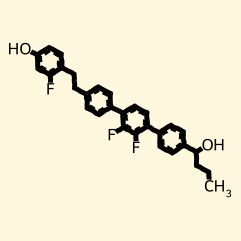 CCCC(O)c1ccc(-c2ccc(-c3ccc(CCc4ccc(O)cc4F)cc3)c(F)c2F)cc1